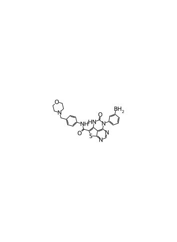 Bc1cccc(N2C(=O)Nc3c(C(=O)Nc4ccc(CN5CCOCC5)cc4)sc4ncnc2c34)c1